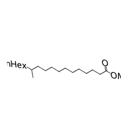 CCCCCCC(C)CCCCCCCCCCC(=O)OC